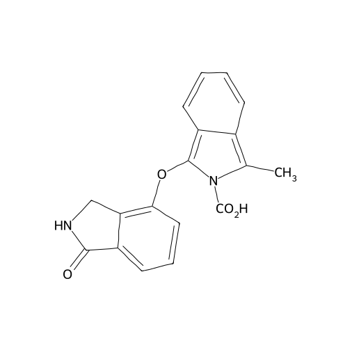 Cc1c2ccccc2c(Oc2cccc3c2CNC3=O)n1C(=O)O